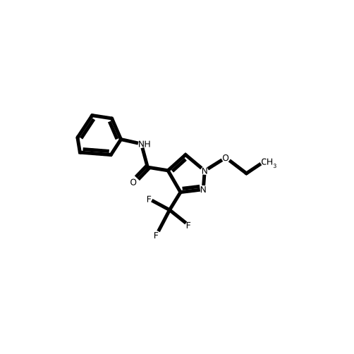 CCOn1cc(C(=O)Nc2ccccc2)c(C(F)(F)F)n1